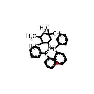 CC1CC(C)(C)CC(N(P(c2ccccc2)c2ccccc2)P(c2ccccc2)c2ccccc2)C1C